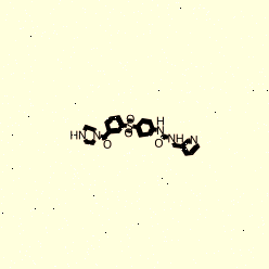 O=C(NCc1cccnc1)Nc1ccc(S(=O)(=O)c2cccc(C(=O)N3CCNCC3)c2)cc1